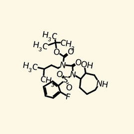 CC(C)CCN(C(=O)OC(C)(C)C)C(=O)N(C1CCCNCC1O)S(=O)(=O)c1ccccc1F